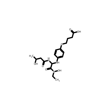 CCN(O)C(=O)C(NC(=O)CC(C)O)Nc1ccc(OCCCC(=O)O)cc1